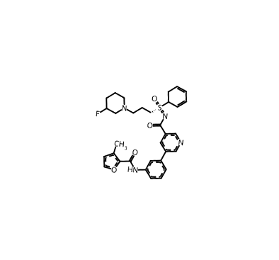 Cc1ccoc1C(=O)Nc1cccc(-c2cncc(C(=O)N=[S@](=O)(CCCN3CCCC(F)C3)C3C=CC=CC3)c2)c1